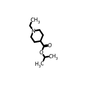 CCN1CCC(C(=O)OC(C)C)CC1